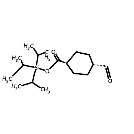 CC(C)[Si](OC(=O)[C@H]1CC[C@H](C=O)CC1)(C(C)C)C(C)C